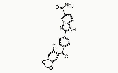 NC(=O)c1ccc2[nH]c(-c3ccc(C(=O)c4cc5c(cc4Cl)OCO5)cc3)nc2c1